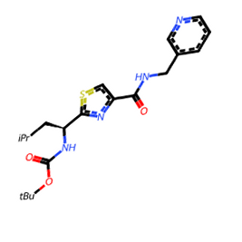 CC(C)C[C@H](NC(=O)OC(C)(C)C)c1nc(C(=O)NCc2cccnc2)cs1